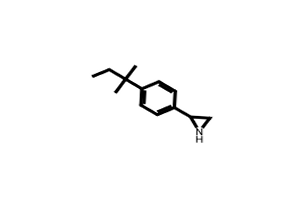 CCC(C)(C)c1ccc(C2CN2)cc1